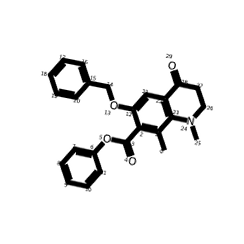 Cc1c(C(=O)Oc2ccccc2)c(OCc2ccccc2)cc2c1N(C)CCC2=O